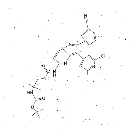 Cc1cc(-c2c(-c3cccc(C#N)c3)nn3ccc(NC(=O)NCC(C)(C)NC(=O)OC(C)(C)C)nc23)cc(Cl)n1